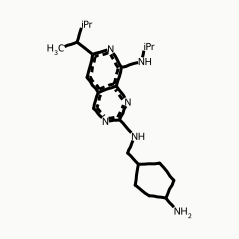 CC(C)Nc1nc(C(C)C(C)C)cc2cnc(NCC3CCC(N)CC3)nc12